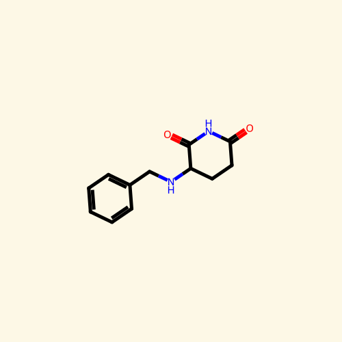 O=C1CCC(NCc2ccccc2)C(=O)N1